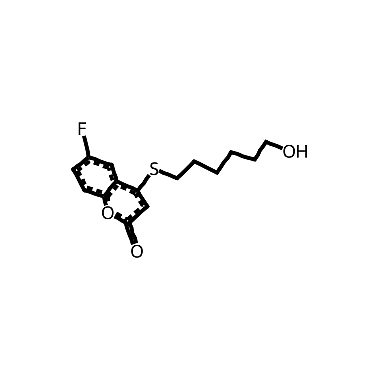 O=c1cc(SCCCCCCO)c2cc(F)ccc2o1